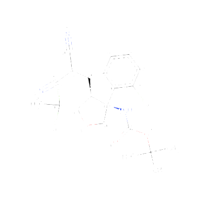 CC(C)(C)OC(=O)N[C@@]1(c2ccccc2F)CO[C@H](C(C)(F)F)[C@H]1CC(C#N)C#N